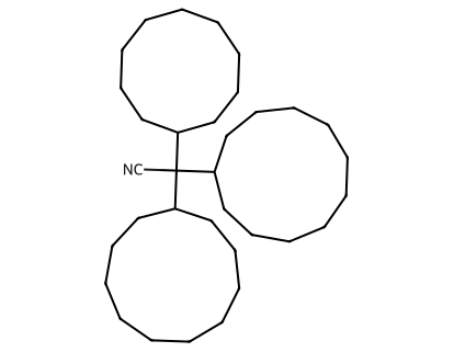 N#CC(C1CCCCCCCCCC1)(C1CCCCCCCCCC1)C1CCCCCCCCC1